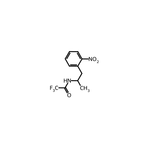 CC(Cc1ccccc1[N+](=O)[O-])NC(=O)C(F)(F)F